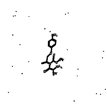 CC(C)OC(=O)N(C(=O)[C@@H](N)C(C)C)C(C)COc1ccc([N+](=O)[O-])cc1